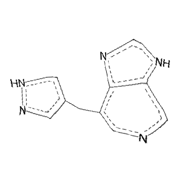 c1nc2c(-c3cn[nH]c3)cncc2[nH]1